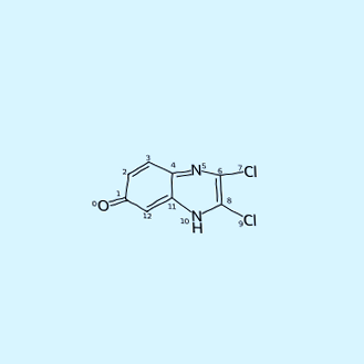 O=c1ccc2nc(Cl)c(Cl)[nH]c-2c1